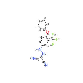 CN(N=C(C#N)C#N)c1ccc(Oc2ccccc2)c(C(F)(F)F)c1